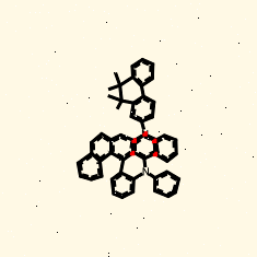 CC1(C)c2ccccc2-c2ccc(N(c3ccccc3)c3cc(-c4ccccc4N(c4ccccc4)c4ccccc4)c4c(ccc5ccccc54)c3)cc2C1(C)C